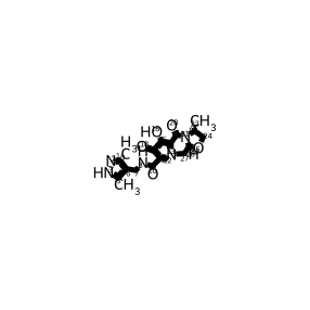 Cc1n[nH]c(C)c1CNC(=O)c1cn2c(c(O)c1=O)C(=O)N1[C@@H](C)CO[C@@H]1C2